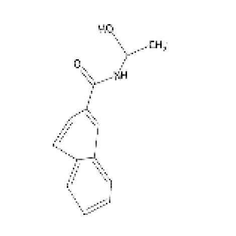 [CH2]C(O)NC(=O)c1ccc2ccccc2c1